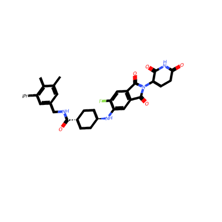 Cc1cc(CNC(=O)[C@H]2CC[C@H](Nc3cc4c(cc3F)C(=O)N(C3CCC(=O)NC3=O)C4=O)CC2)cc(C(C)C)c1C